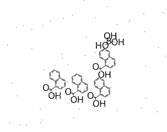 O=C(O)c1cccc2ccccc12.O=C(O)c1cccc2ccccc12.O=C(O)c1cccc2ccccc12.O=C(O)c1cccc2ccccc12.OB(O)O